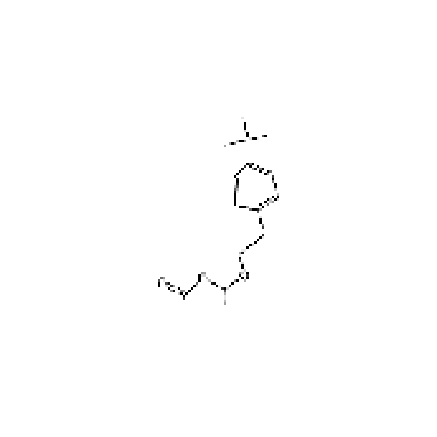 CC(O[C]=O)OCCc1ccc(C(C)(C)C)cc1